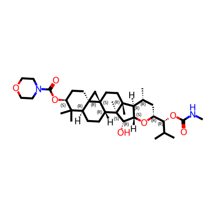 CNC(=O)O[C@H](C(C)C)[C@H]1C[C@@H](C)[C@H]2[C@H](O1)[C@H](O)[C@@]1(C)[C@@H]3CC[C@H]4C(C)(C)[C@@H](OC(=O)N5CCOCC5)CC[C@@]45C[C@@]35CC[C@]21C